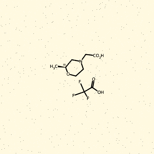 C[C@H]1CN(CC(=O)O)CCO1.O=C(O)C(F)(F)F